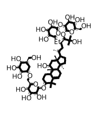 CC[C@@H]1O[C@H](O[C@H]2[C@H](O[C@H](CC[C@@H](C)C3CC[C@@]4(C)C5CC=C6C(CC[C@H](O[C@@H]7O[C@H](CO[C@@H]8C[C@H](CO)[C@@H](O)[C@H](O)[C@H]8O)[C@@H](O)[C@H](O)[C@H]7O)C6(C)C)[C@]5(C)[C@H](O)C[C@]34C)C(C)(C)O)O[C@H](CO)[C@@H](O)[C@@H]2O)[C@@H](O)[C@H](O)[C@H]1O